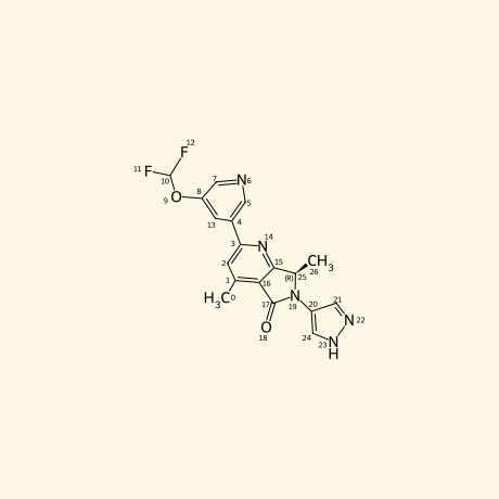 Cc1cc(-c2cncc(OC(F)F)c2)nc2c1C(=O)N(c1cn[nH]c1)[C@@H]2C